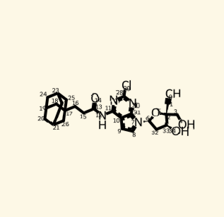 C#C[C@]1(CO)O[C@@H](n2ccc3c(NC(=O)CCC45CC6CC(CC(C6)C4)C5)nc(Cl)nc32)C[C@@H]1O